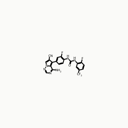 N#Cc1cn2ncnc(N)c2c1-c1ccc(NC(=O)Nc2cc(C(F)(F)F)ccc2F)c(F)c1